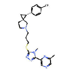 Cc1cncc(-c2nnc(SCCCN3CC[C@]4(C[C@@H]4c4ccc(C(F)(F)F)cc4)C3)n2C)n1